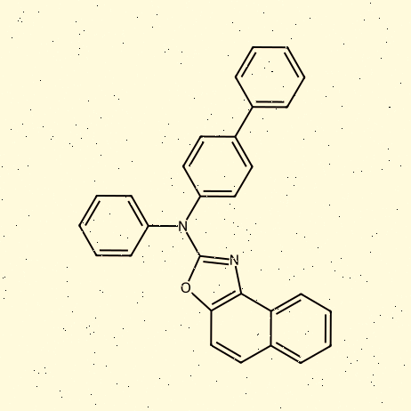 c1ccc(-c2ccc(N(c3ccccc3)c3nc4c(ccc5ccccc54)o3)cc2)cc1